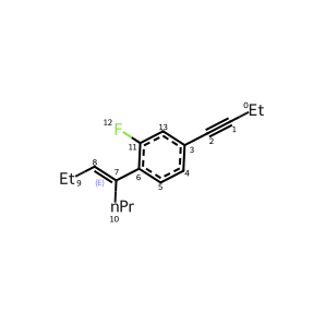 CCC#Cc1ccc(/C(=C/CC)CCC)c(F)c1